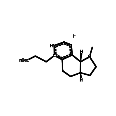 CCCCCCCCCCCC[c+]1[nH]ccc2c1CC[C@H]1CCN(C)[C@@H]21.[I-]